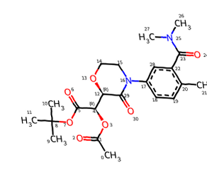 CC(=O)O[C@@H](C(=O)OC(C)(C)C)[C@H]1OCCN(c2ccc(C)c(C(=O)N(C)C)c2)C1=O